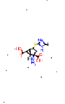 Cc1nnc(SC2CC(N)(C(=O)O)[C@@H]3C(C(=O)O)C23)[nH]1